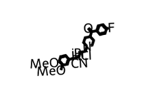 COc1ccc(C(C#N)(CCCN2CCC(C(=O)c3ccc(F)cc3)CC2)C(C)C)cc1OC.Cl